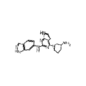 NC1CCCN(c2nc(Nc3ccc4cn[nH]c4c3)nc3[nH]ccc23)C1